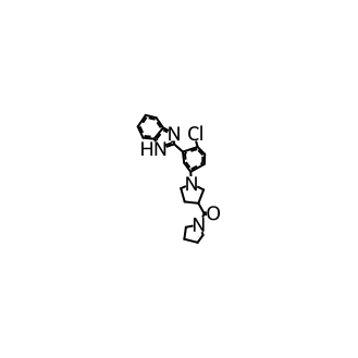 O=C(C1CCN(c2ccc(Cl)c(-c3nc4ccccc4[nH]3)c2)C1)N1CCCC1